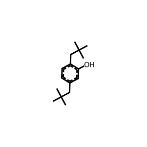 CC(C)(C)Cc1ccc(CC(C)(C)C)c(O)c1